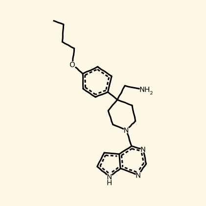 CCCCOc1ccc(C2(CN)CCN(c3ncnc4[nH]ccc34)CC2)cc1